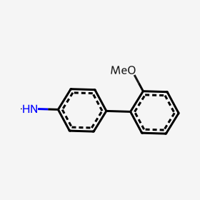 COc1ccccc1-c1ccc([NH])cc1